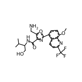 COc1ccc(-c2nc(C(=O)NC(CO)C(C)C)c(CN)o2)c2ccc(C(F)(F)F)nc12